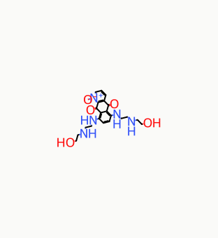 O=C1c2ccc[n+]([O-])c2C(=O)c2c(NCCNCCO)ccc(NCCNCCO)c21